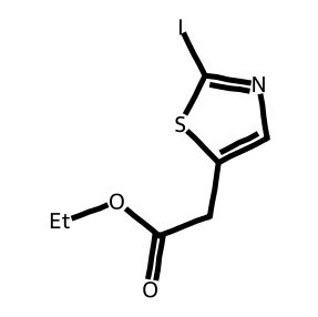 CCOC(=O)Cc1cnc(I)s1